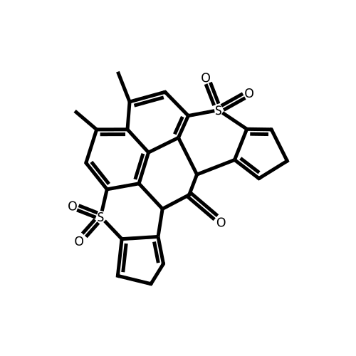 Cc1cc2c3c4c5c(cc(C)c14)S(=O)(=O)C1=CCC=C1C5C(=O)C3C1=CCC=C1S2(=O)=O